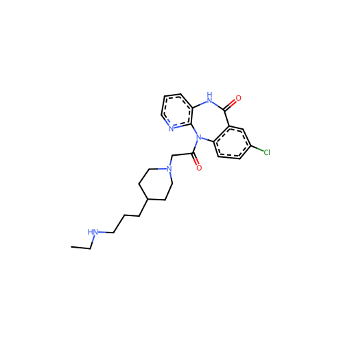 CCNCCCC1CCN(CC(=O)N2c3ccc(Cl)cc3C(=O)Nc3cccnc32)CC1